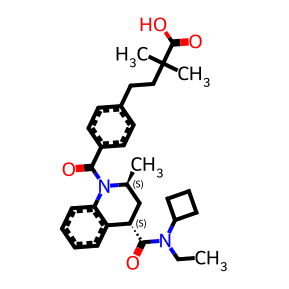 CCN(C(=O)[C@H]1C[C@H](C)N(C(=O)c2ccc(CCC(C)(C)C(=O)O)cc2)c2ccccc21)C1CCC1